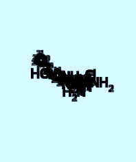 Nc1nc(N)c(C(=O)/N=C2\NCC3(CCN(C(O)Cc4ccccc4)CC3)N2)nc1Cl